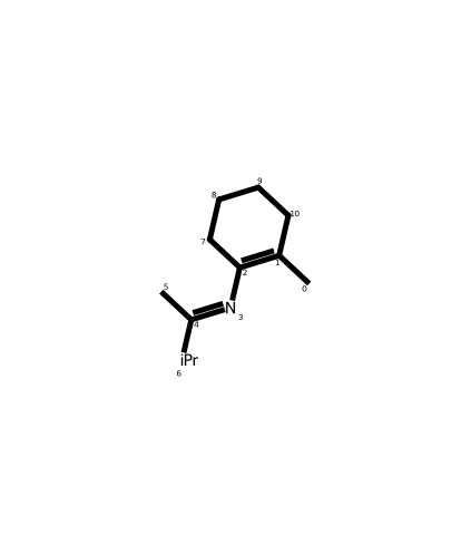 CC1=C(/N=C(\C)C(C)C)CCCC1